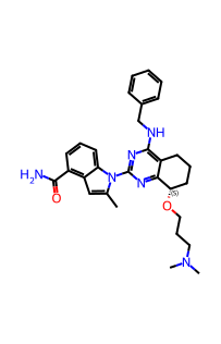 Cc1cc2c(C(N)=O)cccc2n1-c1nc(NCc2ccccc2)c2c(n1)[C@@H](OCCCN(C)C)CCC2